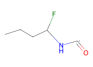 CCCC(F)N[C]=O